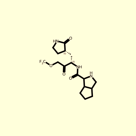 O=C(N[C@@H](C[C@@H]1CCNC1=O)C(=O)COC(F)(F)F)C1NCC2CCCC21